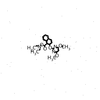 CCN(CC)OC(=O)c1c(Oc2nc(OC)cc(OC)n2)ccc2ccccc12